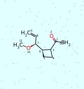 BC(=O)C1CC[C@H]1[C@H](C=C)OC